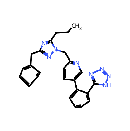 CCCc1nc(Cc2ccccc2)nn1Cc1ccc(-c2ccccc2-c2nnn[nH]2)cn1